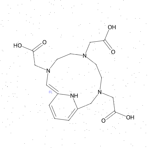 O=C(O)CN1/C=C2\C=CC=C(CN(CC(=O)O)CCN(CC(=O)O)CC1)N2